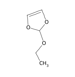 CCOC1OC=CO1